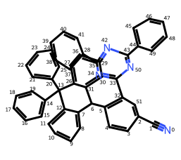 N#Cc1ccc(C2c3ccccc3C(c3ccccc3)(c3ccccc3)c3ccccc32)c(-c2nc(-c3ccccc3)nc(-c3ccccc3)n2)c1